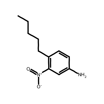 CCCCCc1ccc(N)cc1[N+](=O)[O-]